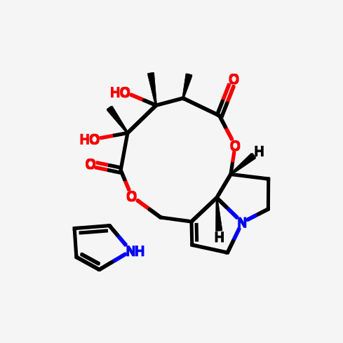 C[C@H]1C(=O)O[C@@H]2CCN3CC=C(COC(=O)[C@](C)(O)[C@]1(C)O)[C@H]23.c1cc[nH]c1